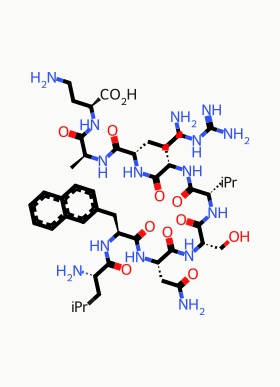 CC(C)C[C@H](N)C(=O)N[C@@H](Cc1ccc2ccccc2c1)C(=O)N[C@@H](CC(N)=O)C(=O)N[C@@H](CO)C(=O)N[C@H](C(=O)N[C@@H](CCN)C(=O)N[C@@H](CCCNC(=N)N)C(=O)N[C@@H](C)C(=O)N[C@@H](CCN)C(=O)O)C(C)C